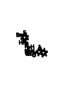 COc1ccccc1CCC(=O)Nc1nonc1/C=N/ONc1ccc(F)c(Br)c1